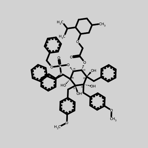 COc1ccc(C[C@@]2(O)[C@](O)(Cc3ccc(OC)cc3)[C@@](O)(Cc3ccccc3)[C@@H](OC(=O)COC3CC(C)CCC3C(C)C)[C@@H](OP(=O)(OCc3ccccc3)OCc3ccccc3)[C@]2(O)Cc2ccccc2)cc1